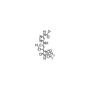 C/C(=C\C(Cl)=C1\C(=O)NC(C)(C)N1C=O)Nc1cc(NC(=O)C2CC2)ncn1